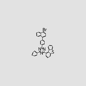 Brc1ccc(-c2ccc(-c3nc(-c4ccccc4)nc(-c4cccc5sc6ccccc6c45)n3)cc2)c2ccccc12